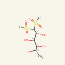 CCS(=O)(=O)C([C@H](O)[C@H](O)[C@@H](O)[C@H](C)O)S(=O)(=O)CC